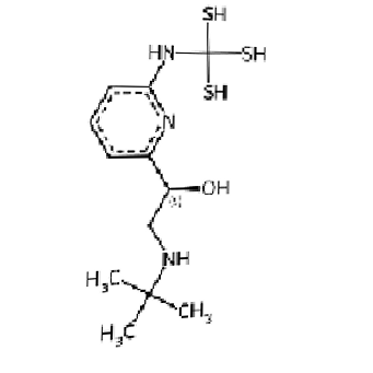 CC(C)(C)NC[C@H](O)c1cccc(NC(S)(S)S)n1